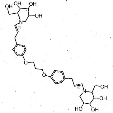 OCC1C(O)C(O)C(O)CN1/C=C/Cc1ccc(OCCCOc2ccc(C/C=C/N3CC(O)C(O)C(O)C3CO)cc2)cc1